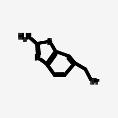 CC(C)Cc1ccc2nc(N)sc2c1